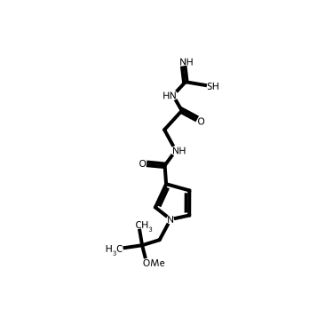 COC(C)(C)Cn1ccc(C(=O)NCC(=O)NC(=N)S)c1